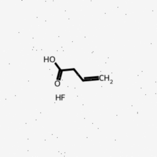 C=CCC(=O)O.F